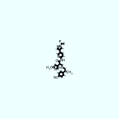 C[C@@H](CNCC(C(=O)Nc1ccc(-c2cnn(C(F)F)c2)cn1)c1cnn(C)c1)c1ccc(C#N)cc1